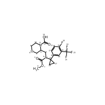 COC(=O)N(CC1COCCN1C(=O)O)C1(c2ccc(F)c(C(F)(F)F)c2)CC1